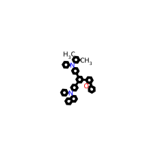 Cc1cc(C)cc(N(c2ccccc2)c2ccc(-c3cc(-c4ccc(N(c5ccccc5)c5cccc6ccccc56)cc4)cc(-c4cccc5c4oc4ccccc45)c3)cc2)c1